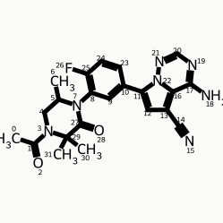 CC(=O)N1CC(C)N(c2cc(-c3cc(C#N)c4c(N)ncnn34)ccc2F)C(=O)C1(C)C